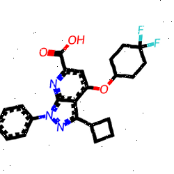 O=C(O)c1cc(OC2CCC(F)(F)CC2)c2c(C3CCC3)nn(-c3ccccc3)c2n1